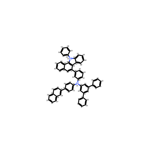 c1ccc(-c2cc(-c3ccccc3)cc(N(c3ccc(-c4ccc5ccccc5c4)cc3)c3cccc(-c4cc5ccccc5c5c4c4ccccc4n5-c4ccccc4)c3)c2)cc1